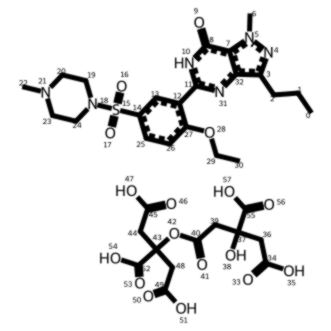 CCCc1nn(C)c2c(=O)[nH]c(-c3cc(S(=O)(=O)N4CCN(C)CC4)ccc3OCC)nc12.O=C(O)CC(O)(CC(=O)OC(CC(=O)O)(CC(=O)O)C(=O)O)C(=O)O